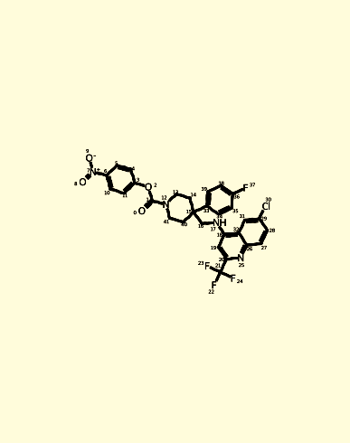 O=C(Oc1ccc([N+](=O)[O-])cc1)N1CCC(CNc2cc(C(F)(F)F)nc3ccc(Cl)cc23)(c2ccc(F)cc2)CC1